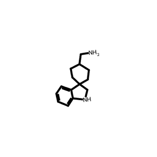 NCC1CCC2(CC1)CNc1ccccc12